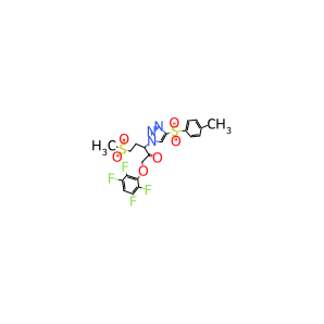 Cc1ccc(S(=O)(=O)c2cn(C(CCS(C)(=O)=O)C(=O)COc3c(F)c(F)cc(F)c3F)nn2)cc1